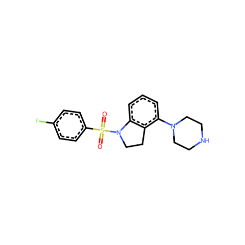 O=S(=O)(c1ccc(F)cc1)N1CCc2c(N3CCNCC3)cccc21